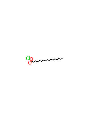 CCCCCCCCCCCCCCCCC(=O)OCl